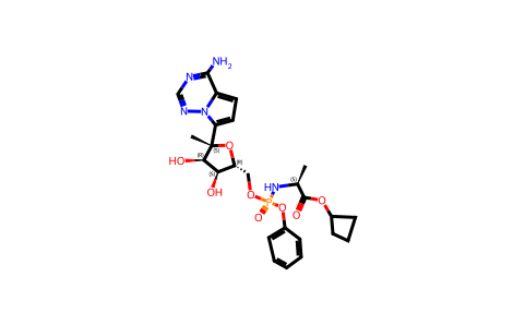 C[C@H](NP(=O)(OC[C@H]1O[C@@](C)(c2ccc3c(N)ncnn23)[C@H](O)[C@@H]1O)Oc1ccccc1)C(=O)OC1CCC1